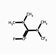 CN(C)C(=[O+]F)N(C)C(F)(F)F